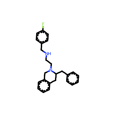 Fc1ccc(CNCCN2Cc3ccccc3CC2Cc2ccccc2)cc1